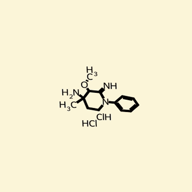 COC1C(=N)N(c2ccccc2)CCC1(C)N.Cl.Cl